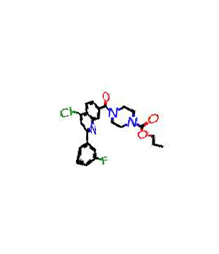 CCCOC(=O)N1CCN(C(=O)c2ccc3c(Cl)cc(-c4cccc(F)c4)nc3c2)CC1